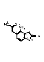 Cc1c(CC(=O)O)ccc2c1CC(=O)N2